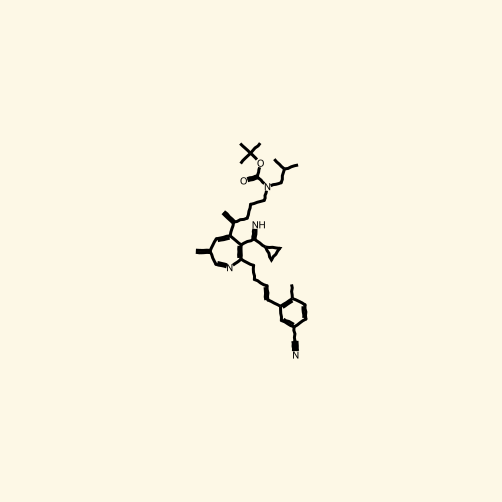 C=C1C=NC(CC/C=C/c2cc(C#N)ccc2C)=C(C(=N)C2CC2)C(C(=C)CCCN(CC(C)C)C(=O)OC(C)(C)C)=C1